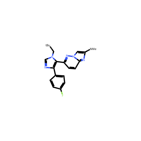 CNc1cn2nc(-c3c(-c4ccc(F)cc4)ncn3CC(C)(C)C)ccc2n1